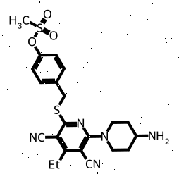 CCc1c(C#N)c(SCc2ccc(OS(C)(=O)=O)cc2)nc(N2CCC(N)CC2)c1C#N